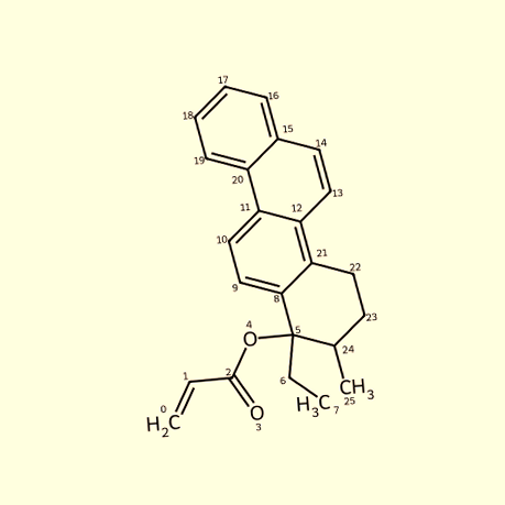 C=CC(=O)OC1(CC)c2ccc3c(ccc4ccccc43)c2CCC1C